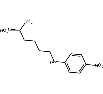 N[C@@H](CCCCNc1ccc([N+](=O)[O-])cc1)C(=O)O